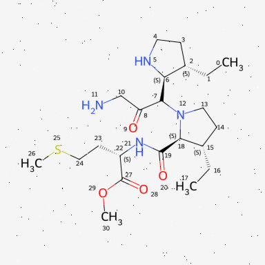 CC[C@H]1CCN[C@@H]1C(C(=O)CN)N1CC[C@H](CC)[C@H]1C(=O)N[C@@H](CCSC)C(=O)OC